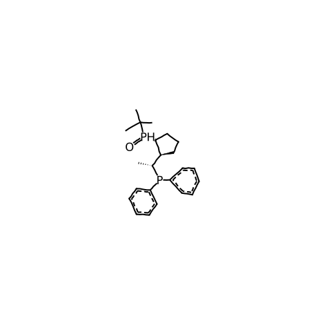 C[C@H]([C@@H]1CCC[C@@H]1[PH](=O)C(C)(C)C)P(c1ccccc1)c1ccccc1